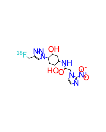 O=C(Cn1ccnc1[N+](=O)[O-])NC1CC(O)C(n2cc(C[18F])nn2)CC1O